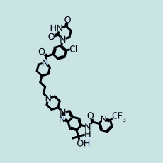 CC(C)(O)c1cc2nn(C3CCN(CCCC4CCN(C(=O)c5ccc(Cl)c(N6CCC(=O)NC6=O)c5)CC4)CC3)cc2cc1NC(=O)c1cccc(C(F)(F)F)n1